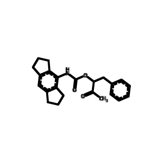 CC(=O)C(Cc1ccccc1)OC(=O)Nc1c2c(cc3c1CCC3)CCC2